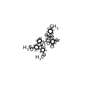 COc1ccc(C(OCC(COS(=O)(=O)c2ccc(C)cc2)Oc2ccc(Br)cc2Cl)(c2ccccc2)c2ccc(OC)cc2)cc1